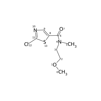 COCCN(C)C(=O)c1cnc(Cl)s1